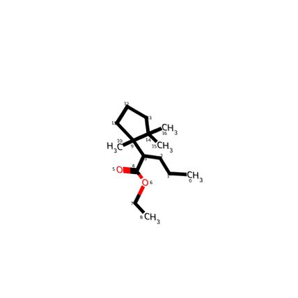 CCCC(C(=O)OCC)C1(C)CCCC1(C)C